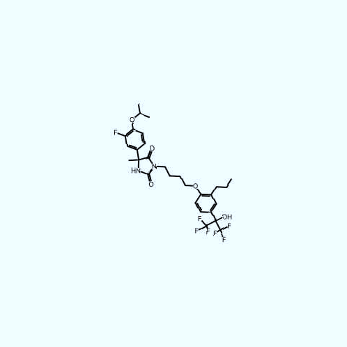 CCCc1cc(C(O)(C(F)(F)F)C(F)(F)F)ccc1OCCCCN1C(=O)NC(C)(c2ccc(OC(C)C)c(F)c2)C1=O